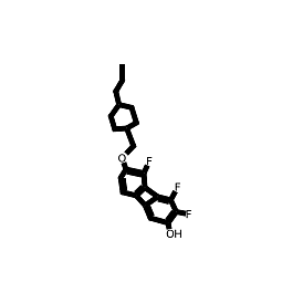 CCCC1CCC(COc2ccc3c(c2F)-c2c-3cc(O)c(F)c2F)CC1